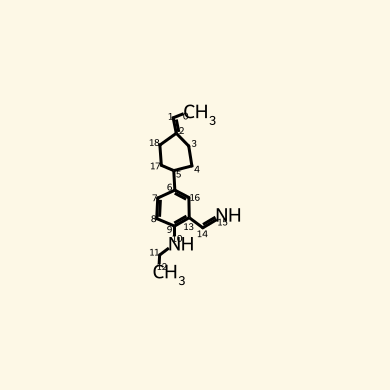 CC=C1CCC(c2ccc(NCC)c(C=N)c2)CC1